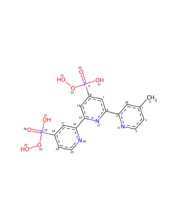 Cc1ccnc(-c2cc(P(=O)(O)OO)cc(-c3cc(P(=O)(O)OO)ccn3)n2)c1